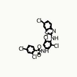 O=S(=O)(Nc1cc(Cl)c(Nc2nc3ccc(Cl)cc3s2)c(Cl)c1)c1ccc(Cl)cc1Cl